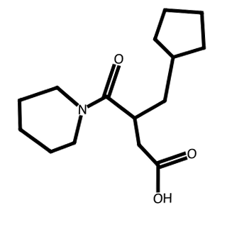 O=C(O)CC(CC1CCCC1)C(=O)N1CCCCC1